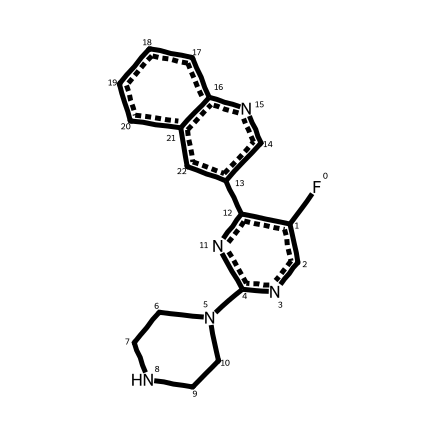 Fc1cnc(N2CCNCC2)nc1-c1cnc2ccccc2c1